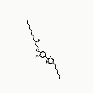 CCCCCCCCC(F)CCOc1ccc(-c2ncc(CCCCCC)cn2)cc1F